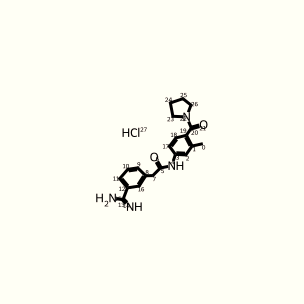 Cc1cc(NC(=O)Cc2cccc(C(=N)N)c2)ccc1C(=O)N1CCCC1.Cl